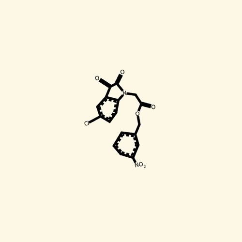 O=C(CN1C(=O)C(=O)c2cc(Cl)ccc21)OCc1cccc([N+](=O)[O-])c1